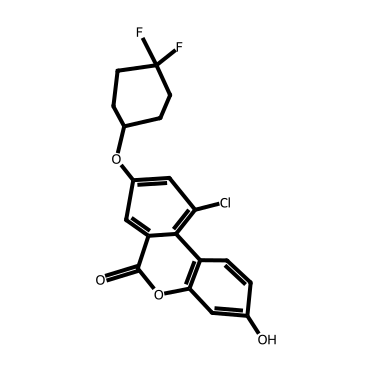 O=c1oc2cc(O)ccc2c2c(Cl)cc(OC3CCC(F)(F)CC3)cc12